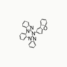 c1ccc2c(c1)nc1n(-c3ccc4oc5ccccc5c4c3)c3nc4ccccc4n3c3ccccc3n21